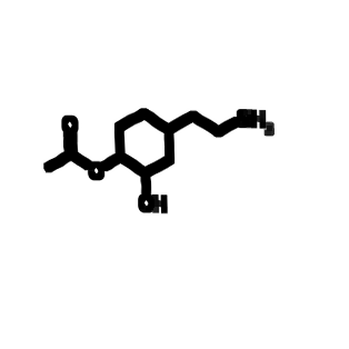 CC(=O)OC1CCC(CC[SiH3])CC1O